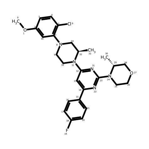 COc1ccc(Cl)c(N2CCN(c3cc(-c4ccc(F)cc4)nc(N4CCOC[C@H]4C)n3)[C@H](C)C2)c1